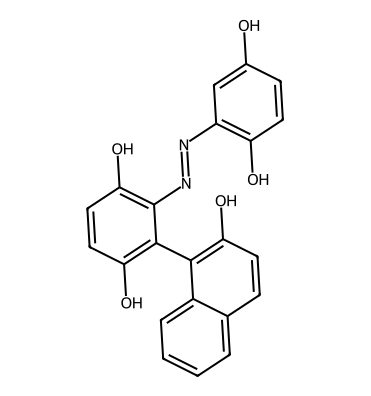 Oc1ccc(O)c(N=Nc2c(O)ccc(O)c2-c2c(O)ccc3ccccc23)c1